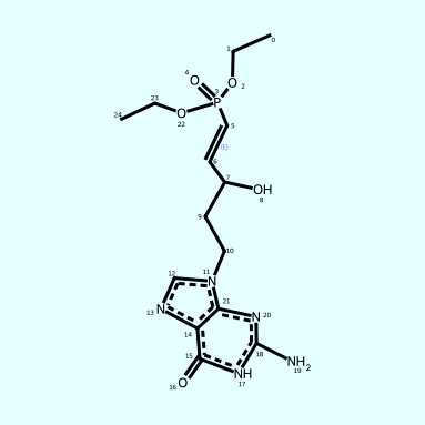 CCOP(=O)(/C=C/C(O)CCn1cnc2c(=O)[nH]c(N)nc21)OCC